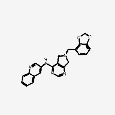 c1cc(CN2Cc3ncnc(Nc4cnc5ccccc5c4)c3C2)c2c(c1)OCO2